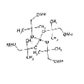 COCC(C)(C)O[Si](OC(C)(C)COC)(OC(C)(C)COC)OC(C)(C)COC